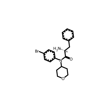 N[C@H](Cc1ccccc1)C(=O)N(c1ccc(Br)cc1)C1CCOCC1